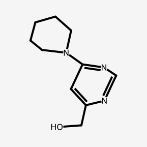 OCc1cc(N2CCCCC2)ncn1